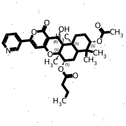 CCCC(=O)O[C@H]1CC2C(C)(C)[C@@H](OC(C)=O)CC[C@]2(C)C2[C@@H](O)c3c(cc(-c4cccnc4)oc3=O)O[C@@]21C